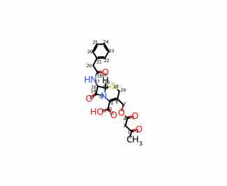 CC(=O)CC(=O)OCC1=C(C(=O)O)N2C(=O)C(NC(=O)Cc3ccccc3)[C@@H]2SC1